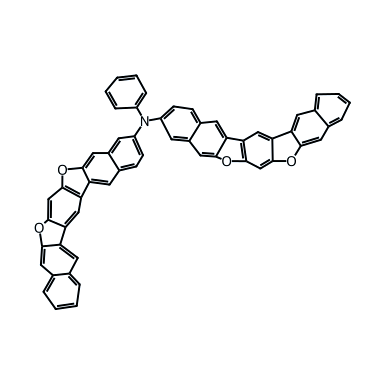 c1ccc(N(c2ccc3cc4c(cc3c2)oc2cc3oc5cc6ccccc6cc5c3cc24)c2ccc3cc4c(cc3c2)oc2cc3oc5cc6ccccc6cc5c3cc24)cc1